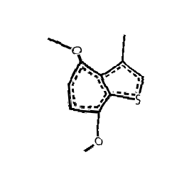 COc1ccc(OC)c2c(C)csc12